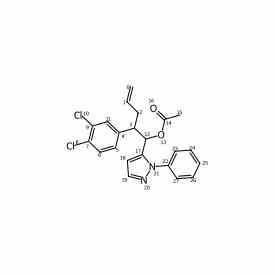 C=CCC(c1ccc(Cl)c(Cl)c1)C(OC(C)=O)c1ccnn1-c1ccccc1